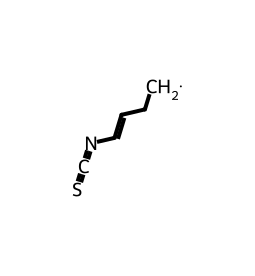 [CH2]CC=CN=C=S